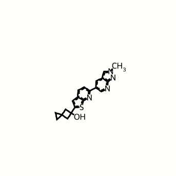 Cn1cc2cc(-c3ccc4cc(C5(O)CC6(CC6)C5)sc4n3)cnc2n1